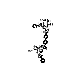 COC(=O)N[C@H](C(=O)N1C[C@H](n2cc(-c3ccccc3)nn2)CC1c1ncc(-c2ccc(-c3ccc(-c4cnc([C@@H]5C[C@@H](n6cc(-c7ccccc7)nn6)CN5C(=O)[C@@H](NC(=O)OC)C(C)C)[nH]4)cc3)cc2)[nH]1)C(C)C